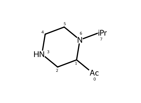 CC(=O)C1CNCCN1C(C)C